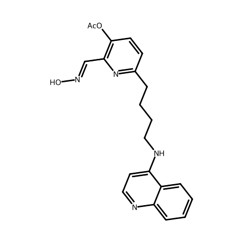 CC(=O)Oc1ccc(CCCCNc2ccnc3ccccc23)nc1C=NO